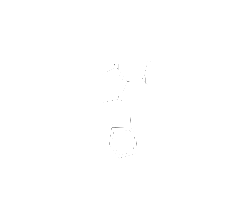 C/N=C(/N(C)C)N(C)Cc1ccccc1